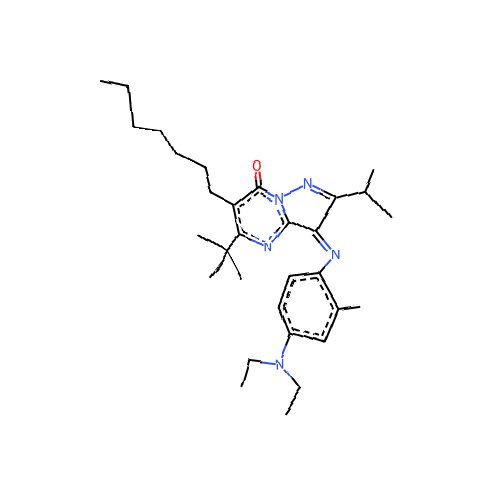 CCCCCCCc1c(C(C)(C)C)nc2n(c1=O)N=C(C(C)C)C2=Nc1ccc(N(CC)CC)cc1C